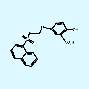 O=C(O)c1cc(OCCS(=O)(=O)c2cccc3ccccc23)ccc1O